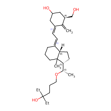 C=C1/C(=C\C=C2/CCCC3(C)[C@@H]([C@H](C)OCCCC(O)(CC)CC)CC[C@@H]23)CC(O)C[C@H]1CO